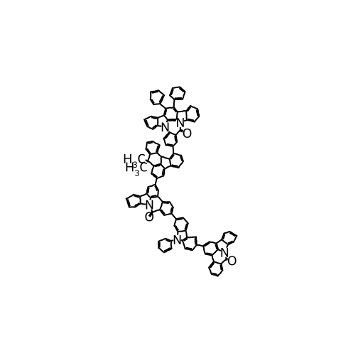 CC1(C)c2ccccc2C2c3c(-c4ccc5c(c4)c(=O)n4c6ccccc6c6c(-c7ccccc7)c(-c7ccccc7)c7c8ccccc8n5c7c64)cccc3-c3cc(-c4cc5c6ccc(-c7ccc8c9cc(-c%10cc%11c%12ccccc%12c(=O)n%12c%13ccccc%13c(c%10)c%11%12)ccc9n(-c9ccccc9)c8c7)cc6c(=O)n6c7ccccc7c(c4)c56)cc1c32